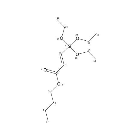 CCCCOC(=O)C=C[Si](OCC)(OCC)OCC